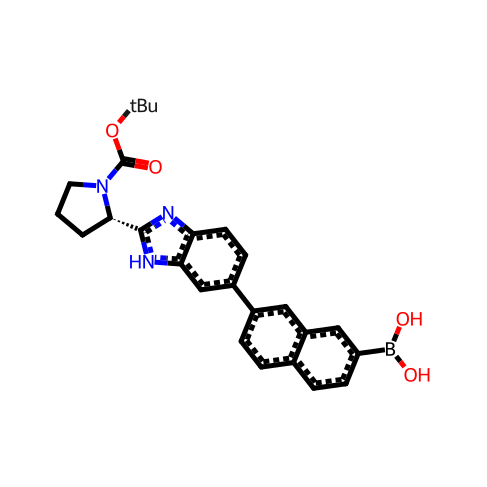 CC(C)(C)OC(=O)N1CCC[C@H]1c1nc2ccc(-c3ccc4ccc(B(O)O)cc4c3)cc2[nH]1